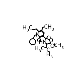 CCCc1c(CC)cc(C(=O)NC(C(=O)OC)C(C)C)c(=O)n1CC1CCCCC1